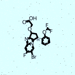 O=C(O)COC1C[C@H](c2ccccc2OC(F)F)c2c1nc1cc(F)c(Br)cn21